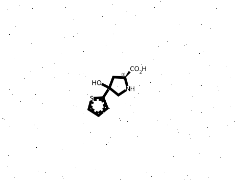 O=C(O)[C@@H]1CC(O)(c2cccs2)CN1